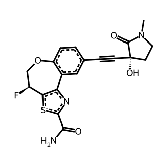 CN1CC[C@@](O)(C#Cc2ccc3c(c2)-c2nc(C(N)=O)sc2[C@@H](F)CO3)C1=O